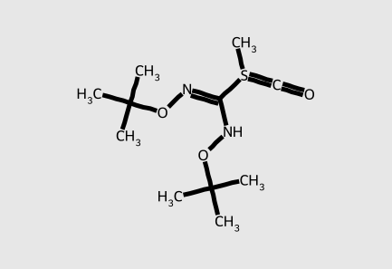 CS(=C=O)C(=NOC(C)(C)C)NOC(C)(C)C